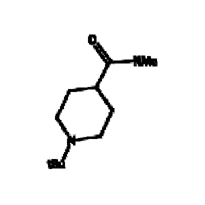 CNC(=O)C1CCN(C(C)(C)C)CC1